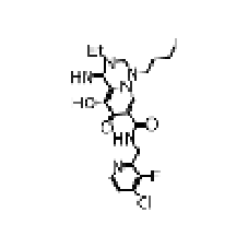 CCN1CN(CCCI)n2cc(C(=O)NCc3nccc(Cl)c3F)c(=O)c(O)c2C1=N